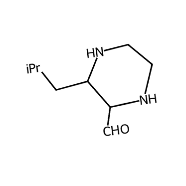 CC(C)CC1NCCNC1C=O